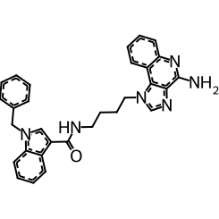 Nc1nc2ccccc2c2c1ncn2CCCCNC(=O)c1cn(Cc2ccccc2)c2ccccc12